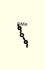 C/C=C/c1ccc(C#CC2CCC(CCc3ccc(COC)cc3)CC2)cc1